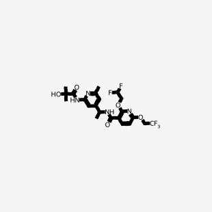 Cc1cc(C(C)NC(=O)c2ccc(OCC(F)(F)F)nc2OCC(F)F)cc(NC(=O)C(C)(C)O)n1